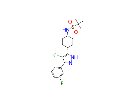 CC(C)(C)S(=O)(=O)N[C@H]1CC[C@H](c2[nH]nc(-c3cccc(F)c3)c2Cl)CC1